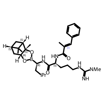 CNC(=N)NCCC[C@H](NC(=O)/C(C)=C/c1ccccc1)C(=O)N[C@@H](CC(C)C)B1O[C@@H]2C[C@@H]3C[C@@H](C3(C)C)[C@]2(C)O1